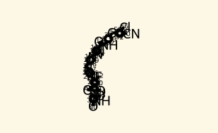 N#Cc1ccc(OC2CCC(NC(=O)c3ccc(N4CCC(CN5CCN(c6cc7c(cc6F)C(=O)N([C@H]6CCC(=O)NC6=O)C7=O)CC5)CC4)nn3)CC2)cc1Cl